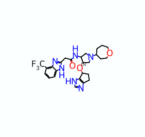 O=C(Cc1nc2c(C(F)(F)F)cccc2[nH]1)NC1CN(C2CCCOCC2)C[C@@H]1OC1CCc2nc[nH]c21